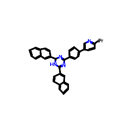 CC(C)c1ccc(-c2ccc(C3=NC(c4ccc5ccccc5c4)NC(c4ccc5ccccc5c4)=N3)cc2)cn1